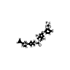 O=C(N1C[C@H]2CC(Oc3ccc(F)c(OC(F)(F)F)c3)C[C@H]2C1)N1CC2(CC(n3cnc(C4CC4)n3)C2)C1